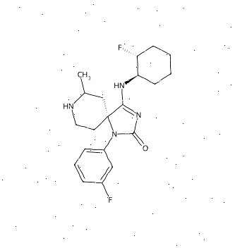 CC1C[C@]2(CCN1)C(N[C@@H]1CCCC[C@H]1F)=NC(=O)N2c1cccc(F)c1